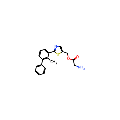 Cc1c(-c2ccccc2)cccc1-c1ncc(COC(=O)CN)s1